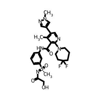 Cc1c(-c2cnn(C)c2)cnc(N2CCCC(F)(F)CC2)c1C(=O)Nc1cccc([S@@](C)(=O)=NC(=O)CO)c1